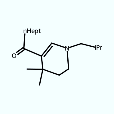 CCCCCCCC(=O)C1=CN(CC(C)C)CCC1(C)C